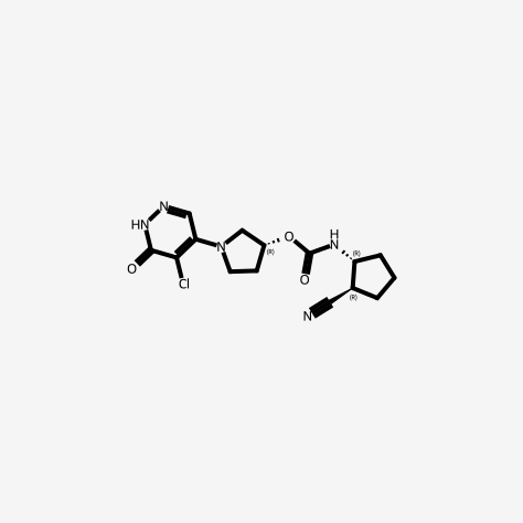 N#C[C@@H]1CCC[C@H]1NC(=O)O[C@@H]1CCN(c2cn[nH]c(=O)c2Cl)C1